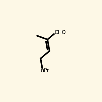 CCCCC=C(C)C=O